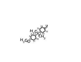 COc1ccc(C(C)(C)c2ccc(I)cc2)cc1